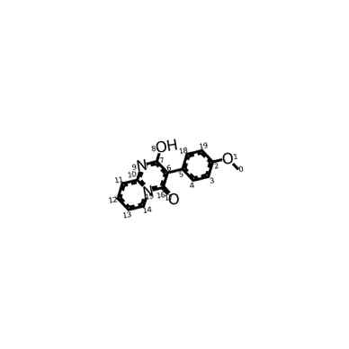 COc1ccc(-c2c(O)nc3ccccn3c2=O)cc1